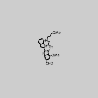 CCC1CN(CCCOC)c2cccc3cc(-c4nc5cc(C=O)cc(OC)c5n4C)n1c23